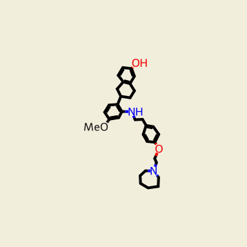 COc1ccc(C2CCc3cc(O)ccc3C2)c(NCCc2ccc(OCCN3CCCCCC3)cc2)c1